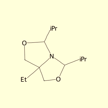 CCC12COC(C(C)C)N1C(C(C)C)OC2